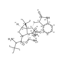 CC(C)(C)C(N)C(=O)N1C[C@H]2C(C)(C)[C@@]2([C@H](CC2C(=O)Nc3ccccc32)C(N)=O)[C@@]1(C(N)=O)[N+](=O)[O-]